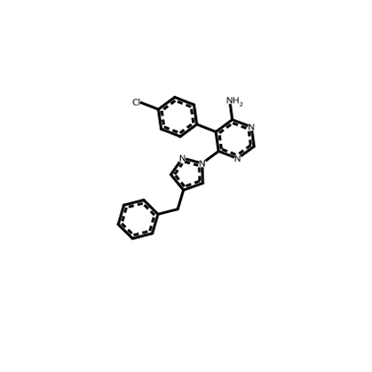 Nc1ncnc(-n2cc(Cc3ccccc3)cn2)c1-c1ccc(Cl)cc1